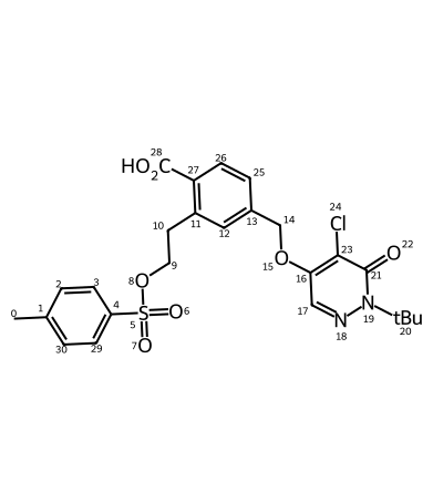 Cc1ccc(S(=O)(=O)OCCc2cc(COc3cnn(C(C)(C)C)c(=O)c3Cl)ccc2C(=O)O)cc1